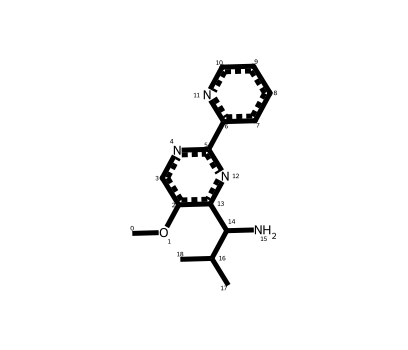 COc1cnc(-c2ccccn2)nc1C(N)C(C)C